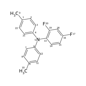 Cc1ccc(N(c2ccc(C)cc2)c2ccc(F)cc2F)cc1